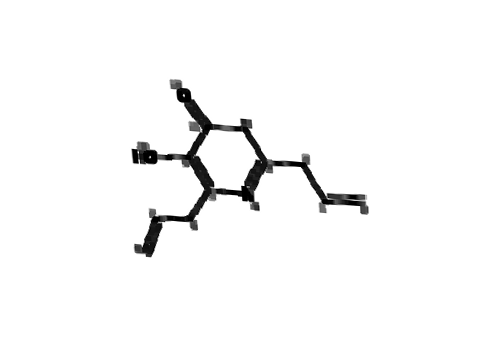 C=CCC1=NC(CC=C)=C(O)C(=O)C1